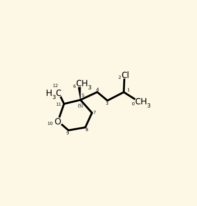 CC(Cl)CC[C@]1(C)CCCOC1C